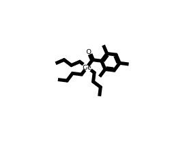 CCC[CH2][Ge]([CH2]CCC)([CH2]CCC)[C](=O)c1c(C)cc(C)cc1C